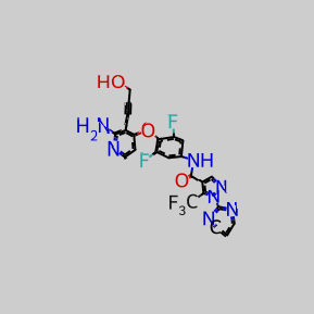 Nc1nccc(Oc2c(F)cc(NC(=O)c3cnn(-c4ncccn4)c3C(F)(F)F)cc2F)c1C#CCO